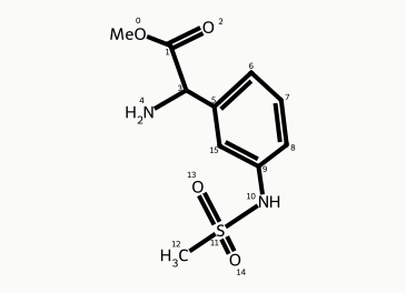 COC(=O)C(N)c1cccc(NS(C)(=O)=O)c1